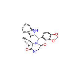 [2H]C1([2H])c2c([nH]c3ccccc23)C(c2ccc3c(c2)OCO3)N2C(=O)CN(C)C(=O)[C@H]21